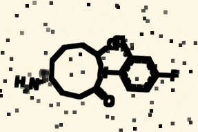 CC1CCC[C@@H](N)CCC(=O)N1c1ccc(F)cc1Cl